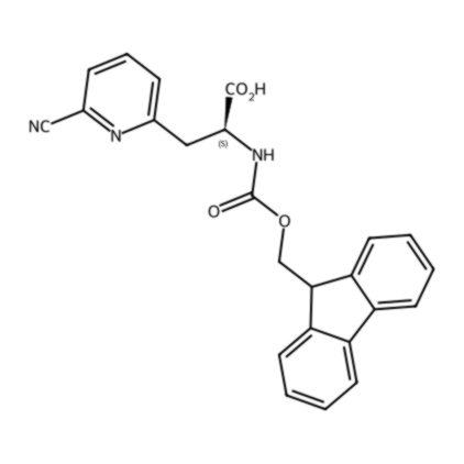 N#Cc1cccc(C[C@H](NC(=O)OCC2c3ccccc3-c3ccccc32)C(=O)O)n1